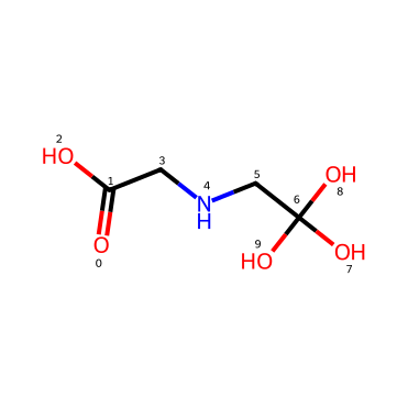 O=C(O)CNCC(O)(O)O